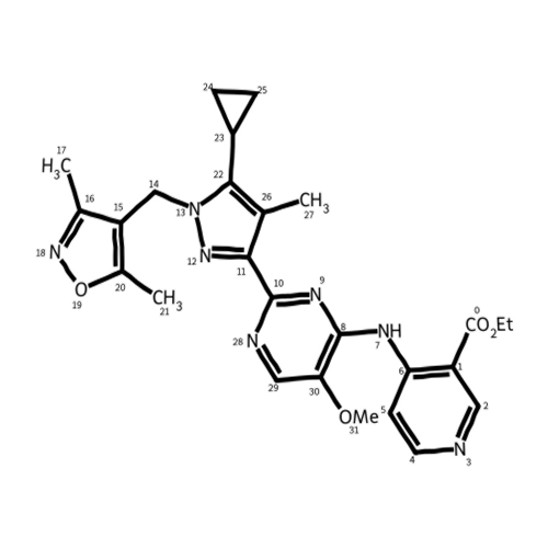 CCOC(=O)c1cnccc1Nc1nc(-c2nn(Cc3c(C)noc3C)c(C3CC3)c2C)ncc1OC